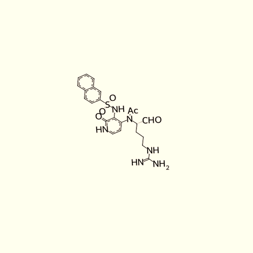 CC(=O)N(c1cc[nH]c(=O)c1NS(=O)(=O)c1ccc2ccccc2c1)[C@H](C=O)CCCNC(=N)N